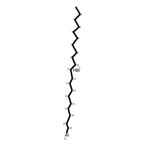 Br.CCCCCCCCCCCCCCCCCCC[CH2][Al]